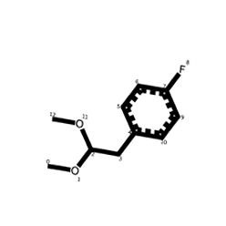 COC(Cc1ccc(F)cc1)OC